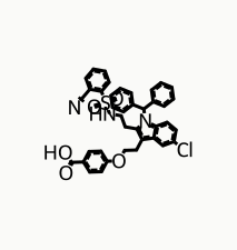 N#Cc1ccccc1S(=O)(=O)NCCc1c(CCOc2ccc(C(=O)O)cc2)c2cc(Cl)ccc2n1C(c1ccccc1)c1ccccc1